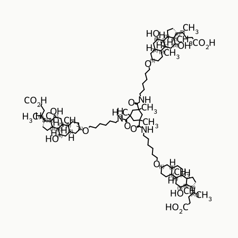 C[C@H](CCC(=O)O)[C@H]1CCC2[C@@H]3CC[C@@H]4C[C@@H](OCCCCCCNC(=O)C5(C)CC(C)(C(=O)NCCCCCCO[C@H]6CC[C@@]7(C)[C@@H](C6)C[C@@H](O)[C@@H]6[C@@H]7C[C@H](O)[C@]7(C)[C@@H]([C@H](C)CCC(=O)O)CC[C@@H]67)CC(C)(C(=O)NCCCCCCO[C@H]6CC[C@@]7(C)[C@@H](C6)C[C@@H](O)[C@@H]6[C@@H]7C[C@H](O)[C@]7(C)[C@@H]([C@H](C)CCC(=O)O)CC[C@@H]67)C5)CC[C@]4(C)[C@H]3C[C@H](O)[C@@]21C